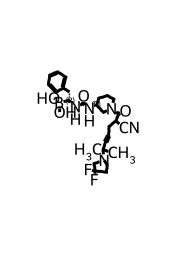 CC(C)(C#CCC(C#N)C(=O)N1CCC[C@@H](NC(=O)N[C@@H](Cc2ccccc2)B(O)O)C1)N1CCC(F)(F)C1